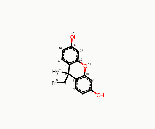 CC(C)CC1(C)c2ccc(O)cc2Oc2cc(O)ccc21